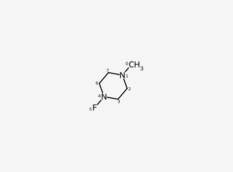 CN1CCN(F)CC1